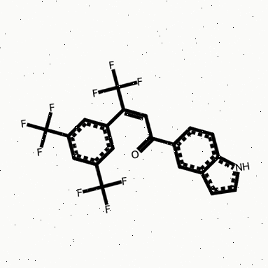 O=C(/C=C(\c1cc(C(F)(F)F)cc(C(F)(F)F)c1)C(F)(F)F)c1ccc2[nH]ccc2c1